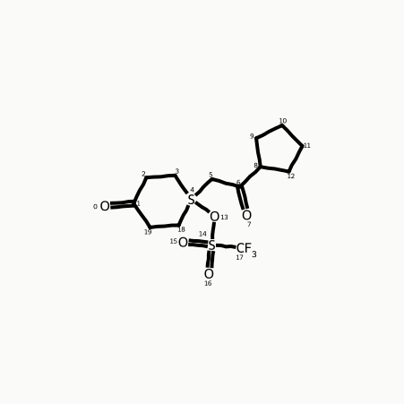 O=C1CCS(CC(=O)C2CCCC2)(OS(=O)(=O)C(F)(F)F)CC1